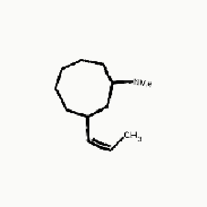 C/C=C\C1CCCCCC(NC)C1